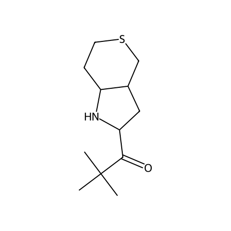 CC(C)(C)C(=O)C1CC2CSCCC2N1